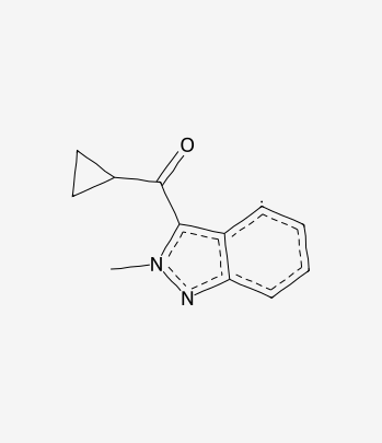 Cn1nc2ccc[c]c2c1C(=O)C1CC1